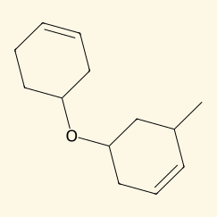 CC1C=CCC(OC2CC=CCC2)C1